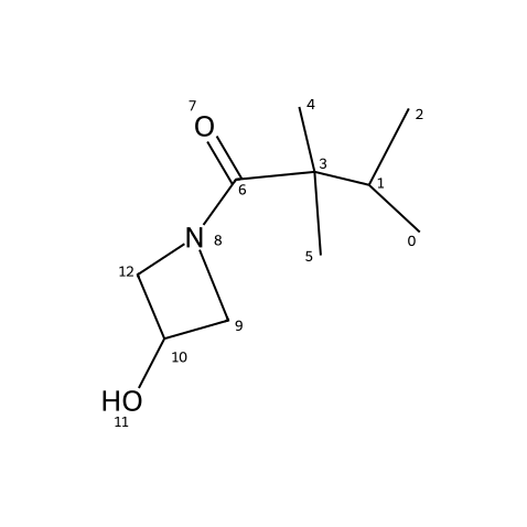 CC(C)C(C)(C)C(=O)N1CC(O)C1